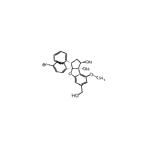 COc1cc(CO)cc2c1[C@]1(O)[C@H](O)C[C@@H](c3ccccc3)[C@]1(c1ccc(Br)cc1)O2